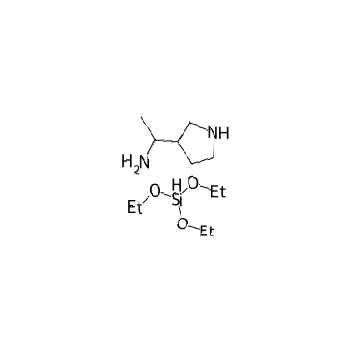 CC(N)C1CCNC1.CCO[SiH](OCC)OCC